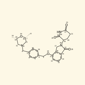 C[C@@H]1CN(Cc2ccc(COc3cccc4c3CN(C3CCC(=O)NC3=O)C4=O)cc2)C[C@H](C)O1